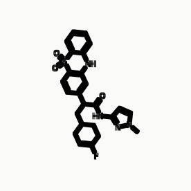 Cn1ccc(NC(=O)C(CC2CC=C(F)CC2)c2ccc3c(c2)Nc2ccccc2S3(=O)=O)n1